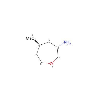 CO[C@@H]1CCOC[C@@H](N)C1